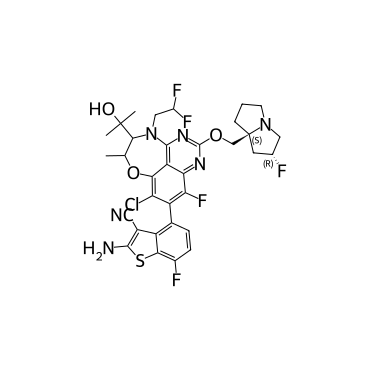 CC1Oc2c(Cl)c(-c3ccc(F)c4sc(N)c(C#N)c34)c(F)c3nc(OC[C@@]45CCCN4C[C@H](F)C5)nc(c23)N(CC(F)F)C1C(C)(C)O